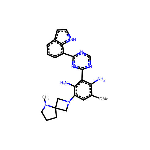 COc1cc(N2CC3(CCCN3C)C2)c(N)c(-c2ncnc(-c3cccc4cc[nH]c34)n2)c1N